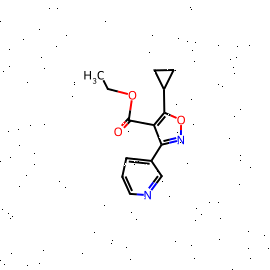 CCOC(=O)c1c(-c2cccnc2)noc1C1CC1